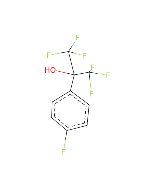 OC(c1ccc(F)cc1)(C(F)(F)F)C(F)(F)F